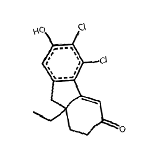 CCC12CCC(=O)C=C1c1c(cc(O)c(Cl)c1Cl)C2